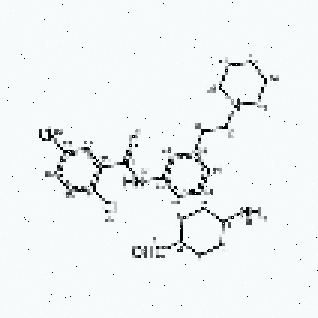 NC1CCC(C=O)CC1.O=C(Nc1cccc(CCN2CCCCC2)c1)c1cc(Cl)ccc1Cl